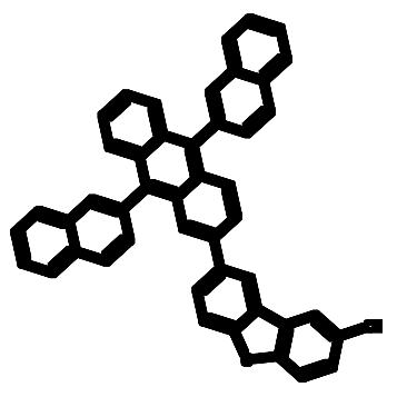 N#Cc1ccc2oc3ccc(-c4ccc5c(-c6ccc7ccccc7c6)c6ccccc6c(-c6ccc7ccccc7c6)c5c4)cc3c2c1